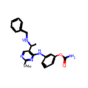 CSc1ncc(C(C)NCc2ccccc2)c(Nc2cccc(OC(N)=O)c2)n1